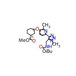 COC(=O)[C@H]1CCC[C@H](Oc2ccc(-c3nnn(C)c3CNC(=O)OCC(C)C)nc2C)C1